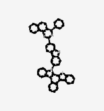 c1ccc(-c2nc(-c3ccc4c(c3)sc3ccc(-n5c6ccccc6c6c7ccccc7c7c8ccccc8sc7c65)cc34)nc3c2ccc2ccccc23)cc1